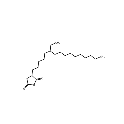 CCCCCCCCCCC(CC)CCCCCC1CC(=O)OC1=O